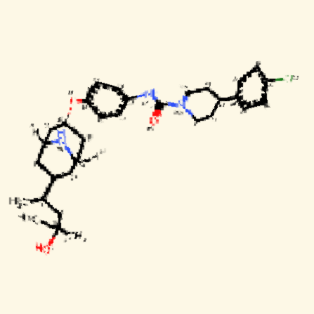 CC(CC(C)(C)O)C1C[C@@H]2C[C@H](Oc3ccc(NC(=O)N4CCC(c5ccc(Cl)cc5)CC4)cc3)C[C@H](C1)N2